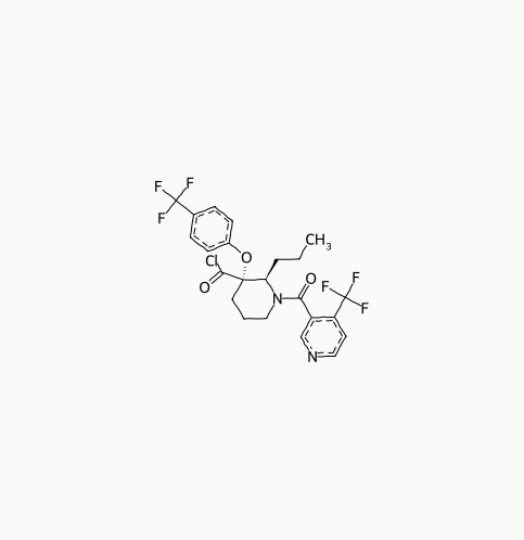 CCC[C@H]1N(C(=O)c2cnccc2C(F)(F)F)CCC[C@@]1(Oc1ccc(C(F)(F)F)cc1)C(=O)Cl